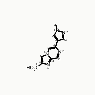 Cn1cc(-c2cn3cc(C(=O)O)nc3cn2)cn1